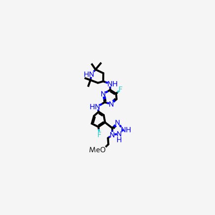 COCCN1NNN=C1c1cc(Nc2ncc(F)c(NC3CC(C)(C)NC(C)(C)C3)n2)ccc1F